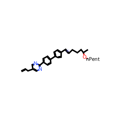 C=CCc1cnc(-c2ccc(-c3ccc(/C=C/CCCC(C)OCCCCC)cc3)cc2)nc1